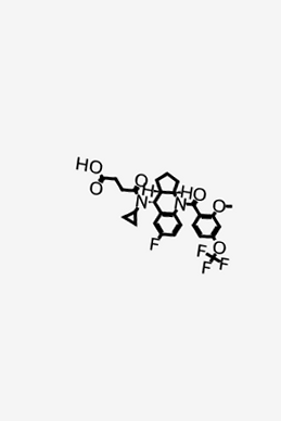 COc1cc(OC(F)(F)F)ccc1C(=O)N1c2ccc(F)cc2[C@H](N(C(=O)CCC(=O)O)C2CC2)[C@@H]2CCC[C@@H]21